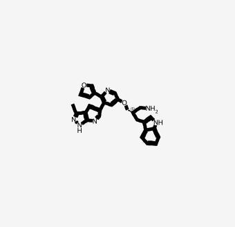 Cc1n[nH]c2ncc(-c3cc(OC[C@H](CN)Cc4c[nH]c5ccccc45)cnc3-c3ccoc3)cc12